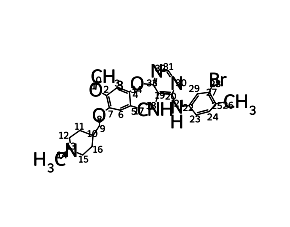 COc1cc2c(cc1OCC1CCN(C)CC1)CNc1c(Nc3ccc(C)c(Br)c3)ncnc1O2